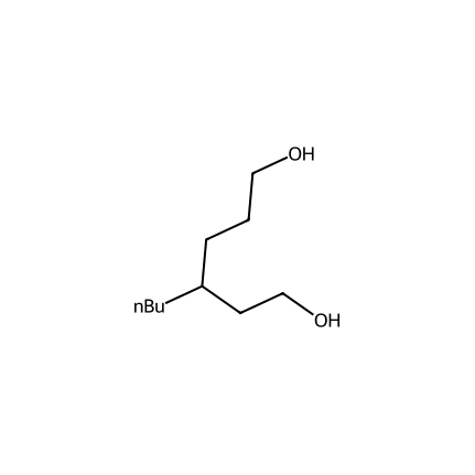 CCCCC(CCO)CCCO